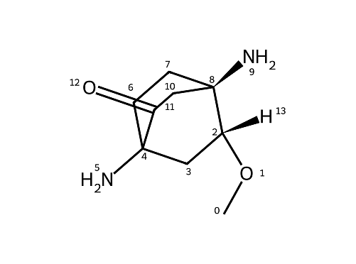 CO[C@@H]1CC2(N)CC[C@@]1(N)CC2=O